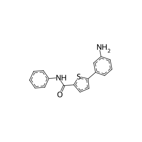 Nc1cccc(-c2ccc(C(=O)Nc3ccccc3)s2)c1